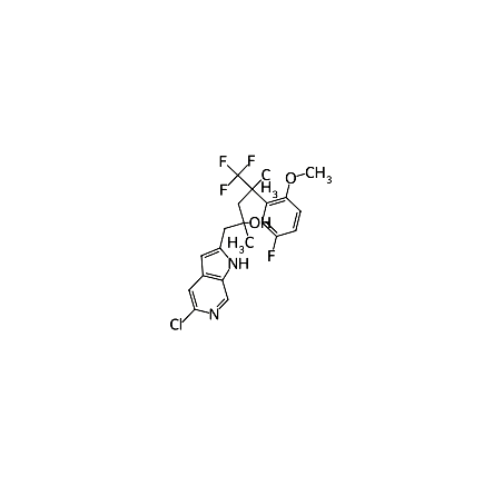 COc1ccc(F)cc1C(C)(CC(C)(O)Cc1cc2cc(Cl)ncc2[nH]1)C(F)(F)F